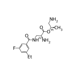 CCc1cc(F)cc(C(=O)NC[C@H](N)C(=O)O[C@H](C)CN)c1